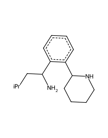 CC(C)CC(N)c1ccccc1C1CCCCN1